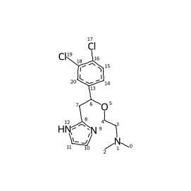 CN(C)CCOC(Cc1ncc[nH]1)c1ccc(Cl)c(Cl)c1